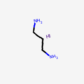 I.NCCCN